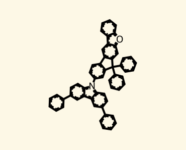 c1ccc(-c2ccc3c(c2)c2cc(-c4ccccc4)ccc2n3-c2ccc3c(c2)C(c2ccccc2)(c2ccccc2)c2cc4oc5ccccc5c4cc2-3)cc1